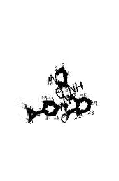 Cn1cccc(Nc2nn(-c3ccc(C4CC4)cc3)c(=O)c3ccccc23)c1=O